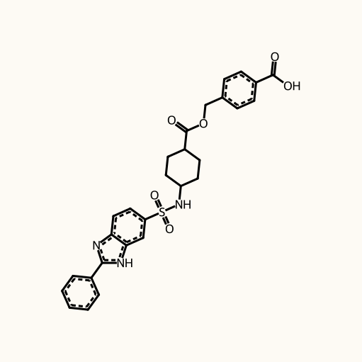 O=C(O)c1ccc(COC(=O)C2CCC(NS(=O)(=O)c3ccc4nc(-c5ccccc5)[nH]c4c3)CC2)cc1